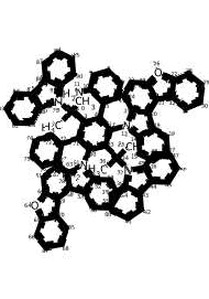 CC(C)(c1c(-c2ccccc2N)c(-n2c3ccccc3c3c4c(ccc32)oc2ccccc24)c(C(C)(C)n2c3ccccc3c3ccccc32)c(-n2c3ccccc3c3c4c(ccc32)oc2ccccc24)c1-c1ccccc1N)n1c2ccccc2c2ccccc21